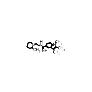 Cc1c(C)n(C)c2ccc(C(=N)NCCN3CCCCC3C)cc12